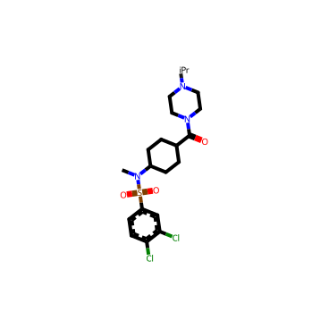 CC(C)N1CCN(C(=O)C2CCC(N(C)S(=O)(=O)c3ccc(Cl)c(Cl)c3)CC2)CC1